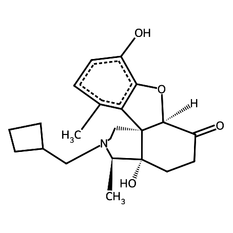 Cc1ccc(O)c2c1[C@]13CCN(CC4CCC4)[C@H](C)[C@]1(O)CCC(=O)[C@@H]3O2